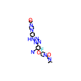 C=C(C)/N=C/C(=O)N1CC[C@H](Oc2ccc(-c3ncnc(Nc4ccc(N5CCN(C6COC6)CC5)cc4)n3)cc2C#N)[C@H](F)C1